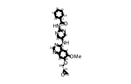 COc1cc2c(Nc3cnc(NC(=O)c4ccccc4)nc3)ncnc2cc1OC[C@@H]1CO1